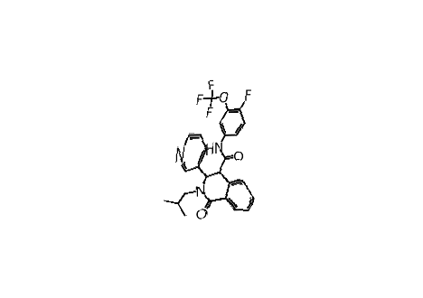 CC(C)CN1C(=O)c2ccccc2C(C(=O)Nc2ccc(F)c(OC(F)(F)F)c2)C1c1cccnc1